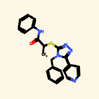 O=C(Nc1ccccc1)C(Sc1nnc(-c2ccncc2)n1Cc1ccccc1)C(F)(F)F